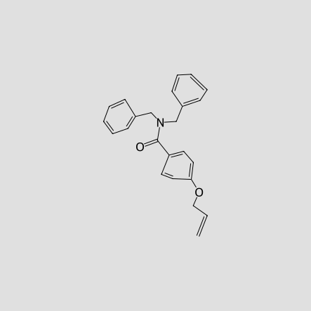 C=CCOc1ccc(C(=O)N(Cc2ccccc2)Cc2ccccc2)cc1